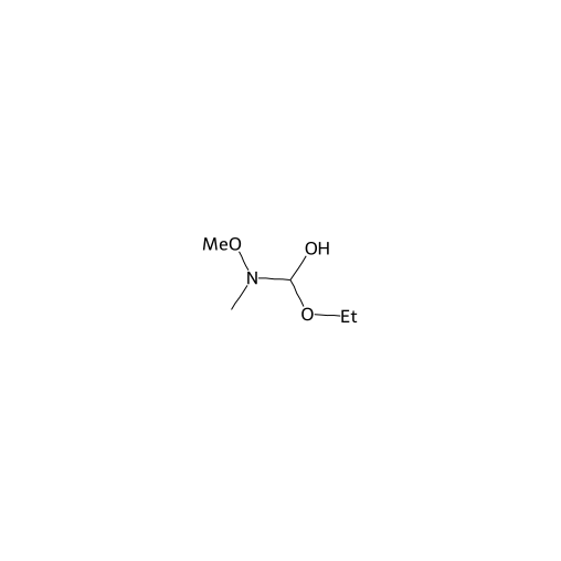 CCOC(O)N(C)OC